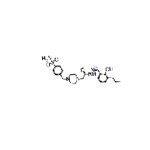 CCCc1cccc(/C=N\NC(=O)CN2CCN(Cc3ccc(S(N)(=O)=O)cc3)CC2)c1O